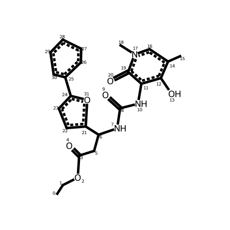 CCOC(=O)CC(NC(=O)Nc1c(O)c(C)cn(C)c1=O)c1ccc(-c2ccccc2)o1